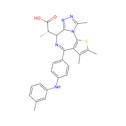 Cc1cccc(Nc2ccc(C3=NC([C@H](C)C(=O)O)c4nnc(C)n4-c4sc(C)c(C)c43)cc2)c1